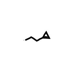 [CH2]CCC1=CC1